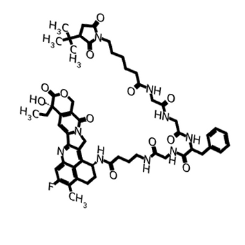 CC[C@@]1(O)C(=O)OCc2c1cc1n(c2=O)Cc2c-1nc1cc(F)c(C)c3c1c2[C@@H](NC(=O)CCCNC(=O)CNC(=O)C(Cc1ccccc1)NC(=O)CNC(=O)CNC(=O)CCCCCN1C(=O)CC(C(C)(C)C)C1=O)CC3